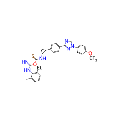 CCc1cccc(C)c1NC(=N)OC(=S)NC1CC1c1ccc(-c2ncn(-c3ccc(OC(F)(F)F)cc3)n2)cc1